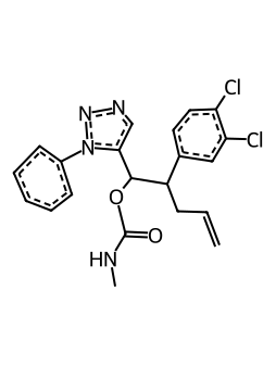 C=CCC(c1ccc(Cl)c(Cl)c1)C(OC(=O)NC)c1cnnn1-c1ccccc1